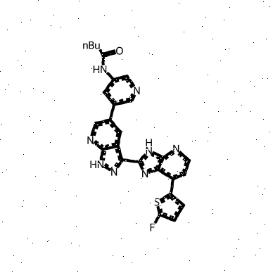 CCCCC(=O)Nc1cncc(-c2cnc3[nH]nc(-c4nc5c(-c6ccc(F)s6)ccnc5[nH]4)c3c2)c1